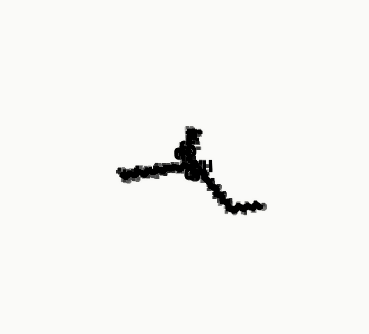 CCCCCC/C=C\CCCCCCCCCC(=O)N[C@@H](COP(=O)([O-])OCC[N+](C)(C)C)[C@H](O)CCCCCCCCCCCCCCC